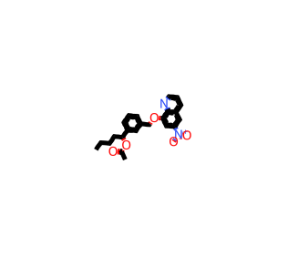 CCCCC(OC(C)=O)c1cccc(COc2cc([N+](=O)[O-])cc3cccnc23)c1